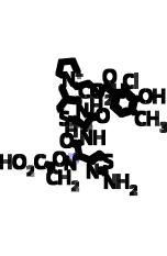 C=C(O/N=C(\C(=O)N[C@@H]1C(=O)N2C(C(=O)O)=C(C[N+]3(CCNC(=O)c4ccc(C)c(O)c4Cl)CCCC3)CS[C@H]12)c1csc(N)n1)C(=O)O